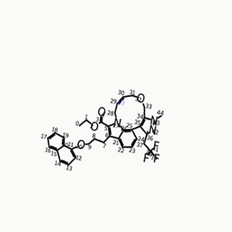 CCOC(=O)c1c(CCCOc2cccc3ccccc23)c2cccc3c2n1C/C=C\COCc1c-3c(CC(F)(F)F)nn1C